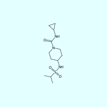 CC(C)S(=O)(=O)NC1CCN(C(=O)NC2CC2)CC1